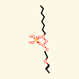 CC=COCCOOOOCCCCCCCC.O=P(O)(O)O